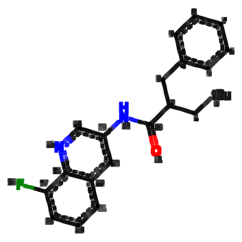 CC(C)(C)CC(Cc1ccccc1)C(=O)Nc1cnc2c(F)cccc2c1